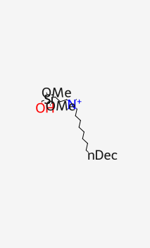 CCCCCCCCCCCCCCCCCC[N+](C)(C)CCC[Si](CO)(OC)OC